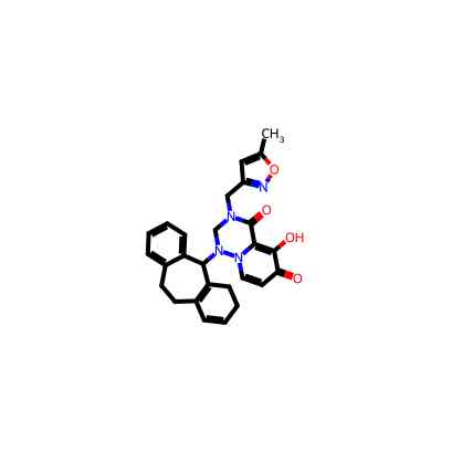 Cc1cc(CN2CN(C3C4=C(C=CCC4)CCc4ccccc43)n3ccc(=O)c(O)c3C2=O)no1